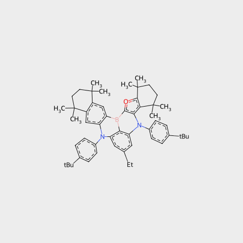 CCc1cc2c3c(c1)N(c1ccc(C(C)(C)C)cc1)c1c(oc4c1C(C)(C)CCC4(C)C)B3c1cc3c(cc1N2c1ccc(C(C)(C)C)cc1)C(C)(C)CCC3(C)C